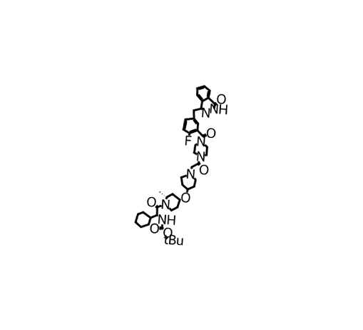 C[C@@H]1C[C@H](OC2CCN(CC(=O)N3CCN(C(=O)c4cc(Cc5n[nH]c(=O)c6ccccc56)ccc4F)CC3)CC2)CCN1C(=O)[C@H](NC(=O)OC(C)(C)C)C1CCCCC1